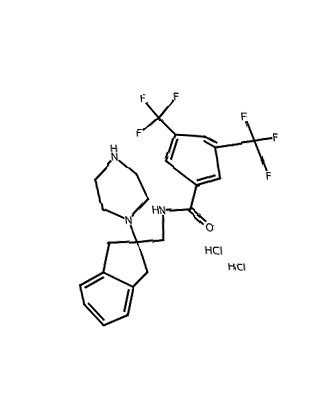 Cl.Cl.O=C(NCC1(N2CCNCC2)Cc2ccccc2C1)c1cc(C(F)(F)F)cc(C(F)(F)F)c1